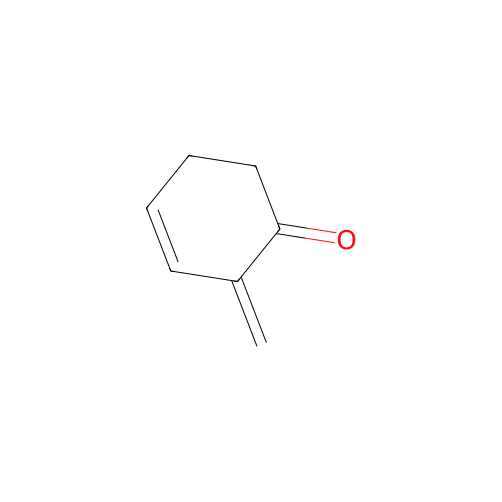 C=C1C=CCCC1=O